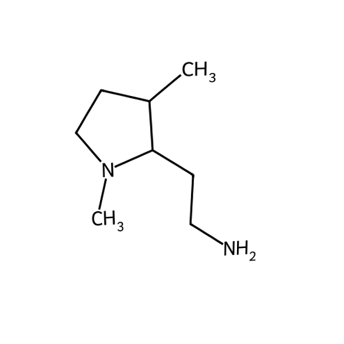 CC1CCN(C)C1CCN